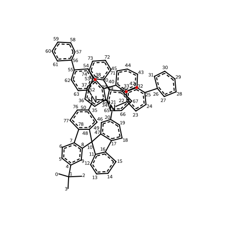 CC(C)(C)c1ccc2c(c1)C1(c3ccccc3-c3ccc(N(c4ccc(-c5ccccc5)cc4)c4ccccc4-c4ccccc4)cc31)c1cc(N(c3ccc(-c4ccccc4)cc3)c3ccccc3-c3ccccc3)ccc1-2